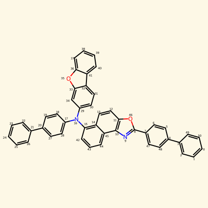 c1ccc(-c2ccc(-c3nc4c(ccc5c(N(c6ccc(-c7ccccc7)cc6)c6ccc7c(c6)oc6ccccc67)cccc54)o3)cc2)cc1